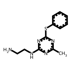 Cc1nc(NCCN)nc(Sc2ccccc2)n1